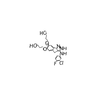 OCCCOc1cc2c(cc1OCCCO)-c1n[nH]c(Nc3ccc(F)c(Cl)c3)c1C2